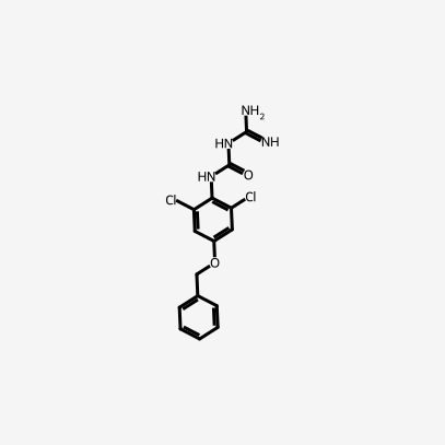 N=C(N)NC(=O)Nc1c(Cl)cc(OCc2ccccc2)cc1Cl